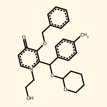 Cc1ccc(C(OC2CCCCO2)c2c(OCc3ccccc3)c(=O)ccn2CCO)cc1